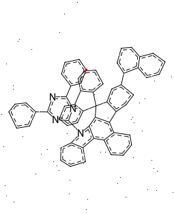 c1ccc(-c2nc(-c3ccccc3)nc(-n3c4ccccc4c4c5ccccc5c5c(c43)C3(c4ccccc4-c4ccccc43)c3cc(-c4cccc6ccccc46)ccc3-5)n2)cc1